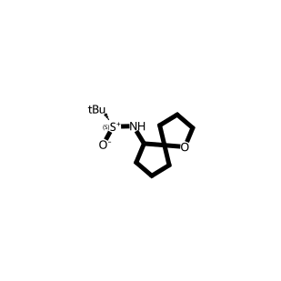 CC(C)(C)[S@@+]([O-])NC1CCCC12CCCO2